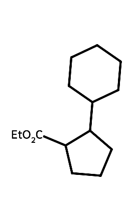 CCOC(=O)C1CCCC1C1CCCCC1